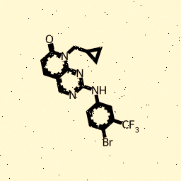 O=c1ccc2cnc(Nc3ccc(Br)c(C(F)(F)F)c3)nc2n1CC1CC1